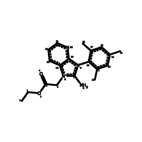 CCOC(=O)C[n+]1c(N)n(-c2c(C)cc(C)cc2C)c2ncccc21